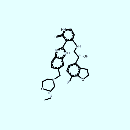 O=c1[nH]ccc(NC[C@H](O)c2ccc(Br)c3c2CCO3)c1-c1nc2ccc(CN3CCO[C@@H](CF)C3)cc2[nH]1